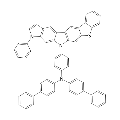 c1ccc(-c2ccc(N(c3ccc(-c4ccccc4)cc3)c3ccc(-n4c5cc6sc7ccccc7c6cc5c5cc6ccn(-c7ccccc7)c6cc54)cc3)cc2)cc1